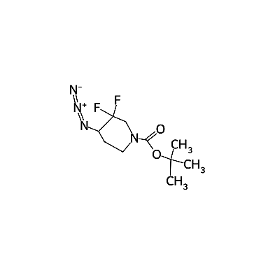 CC(C)(C)OC(=O)N1CCC(N=[N+]=[N-])C(F)(F)C1